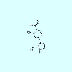 COC(=O)c1ccc(-c2cc[nH]c2C=O)cc1Cl